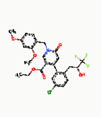 CCOC(=O)c1cn(Cc2ccc(OC)cc2OC)c(=O)cc1-c1cc(Cl)ccc1CC(O)C(F)(F)F